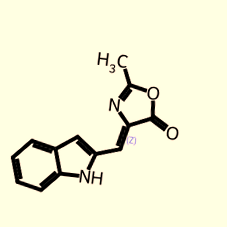 CC1=N/C(=C\c2cc3ccccc3[nH]2)C(=O)O1